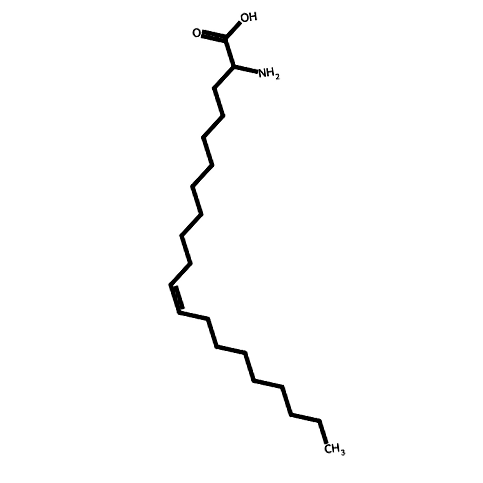 CCCCCCCC/C=C\CCCCCCCCC(N)C(=O)O